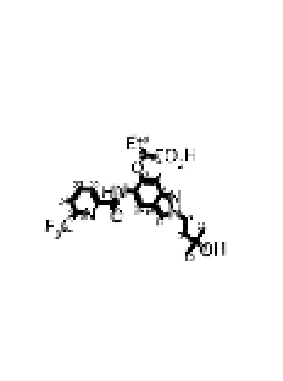 CCC(Oc1cc2nn(CCC(C)(C)O)cc2cc1NC(=O)c1cccc(C(F)(F)F)n1)C(=O)O